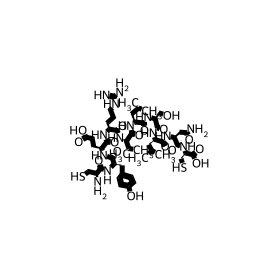 CC(C)C[C@H](NC(=O)[C@H](CO)NC(=O)[C@H](CC(C)C)NC(=O)[C@@H](NC(=O)[C@H](CCCNC(=N)N)NC(=O)[C@H](CCC(=O)O)NC(=O)[C@H](Cc1ccc(O)cc1)NC(=O)[C@@H](N)CS)C(C)C)C(=O)N[C@@H](CC(N)=O)C(=O)N[C@@H](CS)C(=O)O